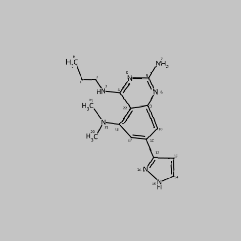 CCCNc1nc(N)nc2cc(-c3cc[nH]n3)cc(N(C)C)c12